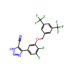 N#Cc1[nH]nnc1-c1cc(F)c(F)c(OCc2cc(C(F)(F)F)cc(C(F)(F)F)c2)c1